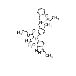 CCOC(=O)C(C)[C@H](c1ccc(C)c(CN2Cc3ccccc3O[C@H](CC)C2)c1)c1ccc2c(nnn2CC)c1C